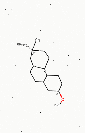 CCCCC[C@]1(C#N)CCC2C(CCC3C[C@H](OCCC)CCC32)C1